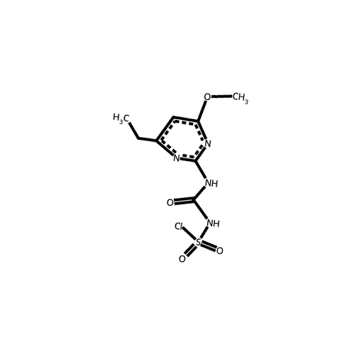 CCc1cc(OC)nc(NC(=O)NS(=O)(=O)Cl)n1